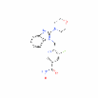 O=C(NO)c1cnc(Cn2c(N3CCOCC3)nc3ccccc32)c(F)c1